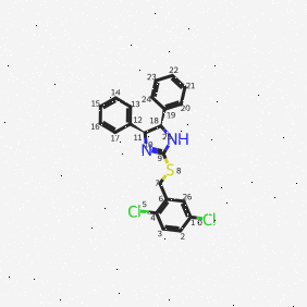 Clc1ccc(Cl)c(CSC2=N[C@@H](c3ccccc3)[C@@H](c3ccccc3)N2)c1